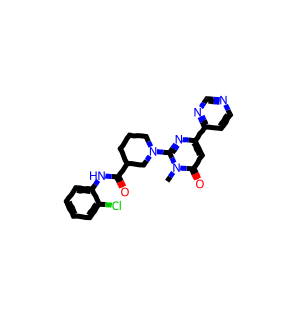 Cn1c(N2CCCC(C(=O)Nc3ccccc3Cl)C2)nc(-c2ccncn2)cc1=O